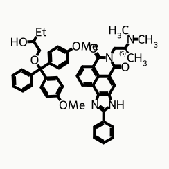 CCC(O)COC(c1ccccc1)(c1ccc(OC)cc1)c1ccc(OC)cc1.C[C@@H](CN1C(=O)c2cccc3c2c(cc2[nH]c(-c4ccccc4)nc23)C1=O)N(C)C